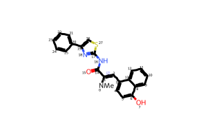 CN/C(=C\c1ccc(O)c2ccccc12)C(=O)Nc1nc(-c2ccccc2)cs1